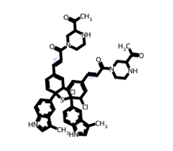 CC(=O)C1CN(C(=O)/C=C/C2=CC(Cl)C(SC3(c4ccc5[nH]cc(C)c5c4)C=CC(/C=C/C(=O)N4CCNC(C(C)=O)C4)=CC3Cl)(c3ccc4[nH]cc(C)c4c3)C=C2)CCN1